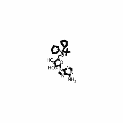 CC(C)(C)[Si](OC[C@H]1OC(n2cnc3c(N)ncnc32)[C@@H](O)[C@@H]1O)(c1ccccc1)c1ccccc1